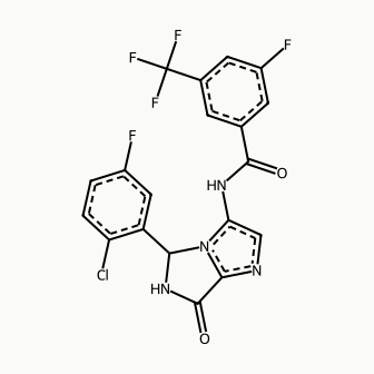 O=C(Nc1cnc2n1C(c1cc(F)ccc1Cl)NC2=O)c1cc(F)cc(C(F)(F)F)c1